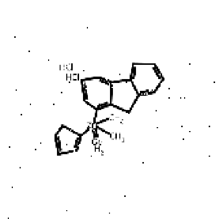 Cl.Cl.[CH3][Zr]([CH3])(=[GeH2])([C]1=CC=CC1)[c]1cccc2c1Cc1ccccc1-2